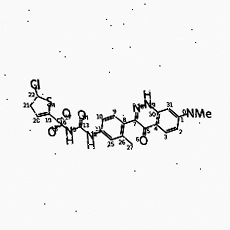 CNc1ccc2c(=O)c(-c3ccc(NC(=O)NS(=O)(=O)C4=CCC(Cl)S4)cc3C)n[nH]c2c1